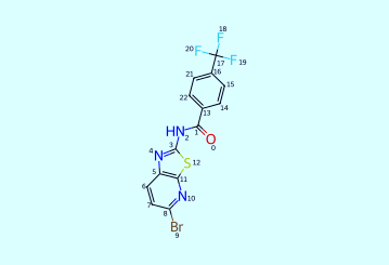 O=C(Nc1nc2ccc(Br)nc2s1)c1ccc(C(F)(F)F)cc1